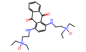 CC[N+]([O-])(CC)CCNc1ccc(NCC[N+]([O-])(CC)CC)c2c1C(=O)c1ccccc1C2=O